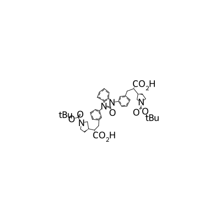 CC(C)(C)OC(=O)N1CC[C@H]([C@H](Cc2cccc(-n3c(=O)n(-c4cccc(C[C@H](C(=O)O)[C@H]5CCN(C(=O)OC(C)(C)C)C5)c4)c4ccccc43)c2)C(=O)O)C1